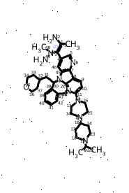 C/C(N)=C(\c1cnc2c3ccc(N4CCN(C5CCN(C(C)C)CC5)CC4)nc3n(C(CC3CCOCC3)c3ccccc3F)c2c1)N(C)N